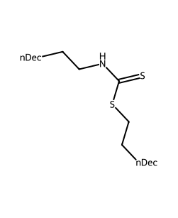 CCCCCCCCCCCCNC(=S)SCCCCCCCCCCCC